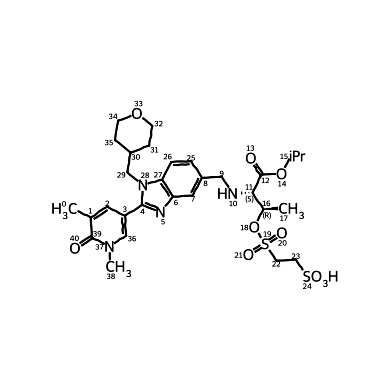 Cc1cc(-c2nc3cc(CN[C@H](C(=O)OC(C)C)[C@@H](C)OS(=O)(=O)CCS(=O)(=O)O)ccc3n2CC2CCOCC2)cn(C)c1=O